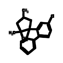 CC1CC(C)(C)C2(C1)c1ccccc1-c1ccc(Cl)cc12